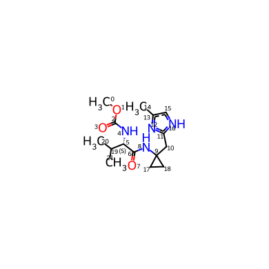 COC(=O)N[C@H](C(=O)NC1(Cc2nc(C)c[nH]2)CC1)C(C)C